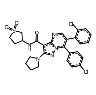 O=C(NC1CCS(=O)(=O)C1)c1c(N2CCCC2)nn2c(-c3ccc(Cl)cc3)c(-c3ccccc3Cl)cnc12